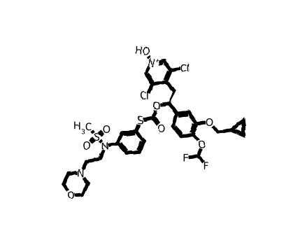 CS(=O)(=O)N(CCN1CCOCC1)c1cccc(SC(=O)O[C@@H](Cc2c(Cl)c[n+](O)cc2Cl)c2ccc(OC(F)F)c(OCC3CC3)c2)c1